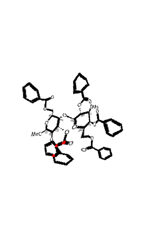 CO[C@H]1O[C@H](COC(=O)c2ccccc2)[C@H](O[C@@H]2O[C@H](COC(=O)c3ccccc3)[C@H](OC(=O)c3ccccc3)[C@H](OC)[C@H]2OC(=O)c2ccccc2)[C@H](OC(=O)c2ccccc2)[C@H]1OC(=O)c1ccccc1